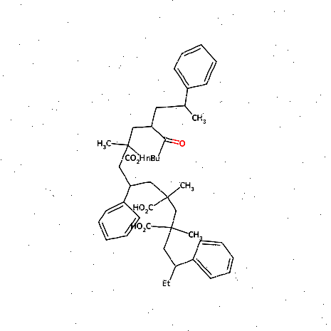 CCCCC(=O)C(CC(C)c1ccccc1)CC(C)(CC(CC(C)(CC(C)(CC(CC)c1ccccc1)C(=O)O)C(=O)O)c1ccccc1)C(=O)O